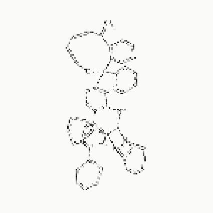 C=C1/C=C\C=C/CC(c2ccccc2)(c2ccc(-c3ccc(-c4ccccc4)cc3)c(NC3C(c4ccccc4)n4c5ccccc5n43)c2)c2ccccc21